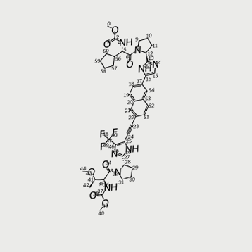 COC(=O)N[C@H](C(=O)N1CCC[C@H]1c1ncc(-c2ccc3cc(C#Cc4[nH]c([C@@H]5CCCN5C(=O)[C@@H](NC(=O)OC)[C@@H](C)OC)nc4C(F)(F)F)ccc3c2)[nH]1)C1CCCC1